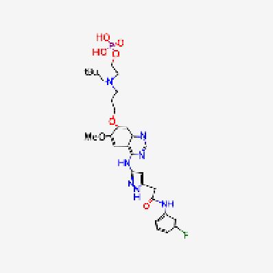 COc1cc2c(Nc3cc(CC(=O)Nc4cccc(F)c4)[nH]n3)ncnc2cc1OCCCN(CCOP(=O)(O)O)CC(C)(C)C